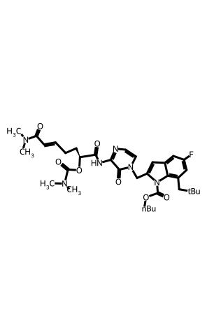 CCCCOC(=O)n1c(Cn2ccnc(NC(=O)[C@H](CC/C=C/C(=O)N(C)C)OC(=O)N(C)C)c2=O)cc2cc(F)cc(CC(C)(C)C)c21